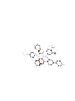 CC(C)(C)c1ccc(N2c3cc(C(C)(C)C)cc4c3B(c3oc5ccccc5c32)N(c2ccc3c(c2)C(C)(C)CCC3(C)C)c2cc(-c3ccccc3)ccc2-4)c(-c2ccccc2)c1